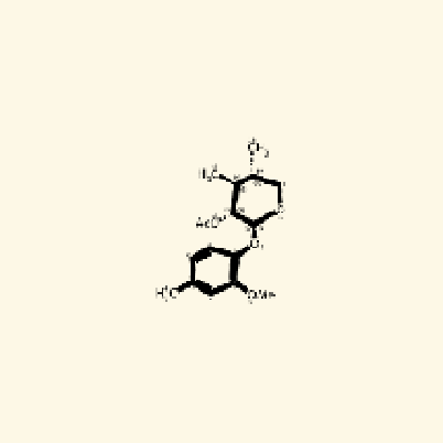 COc1cc(C)ccc1O[C@@H]1OC[C@@H](C)[C@H](C)[C@H]1OC(C)=O